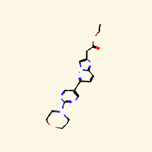 CCOC(=O)Cc1cn2nc(-c3cnc(N4CCOCC4)nc3)ccc2n1